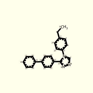 CCc1ccc(-n2cnnc2-c2ccc(-c3ccccc3)cc2)cc1